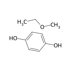 CCOC.Oc1ccc(O)cc1